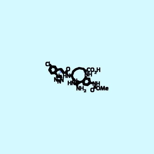 COC(=O)Nc1ccc2c(c1)N[C@@H](C(=O)O)CCCC[C@H](NC(=O)/C=C/c1cc(Cl)ccc1-n1cnnn1)c1nc-2c(N)[nH]1